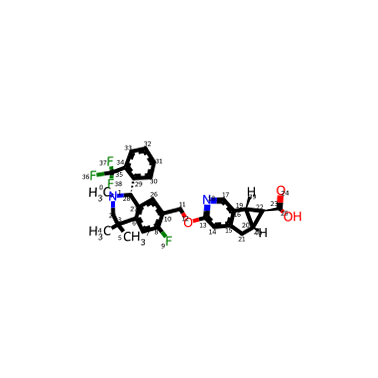 CN1CC(C)(C)c2cc(F)c(COc3cc4c(cn3)[C@H]3[C@@H](C4)[C@@H]3C(=O)O)cc2[C@H]1c1ccccc1C(F)(F)F